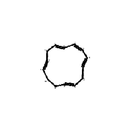 [C]1=C/C=C\C=C\C/C=C/CC/C=C/C/1